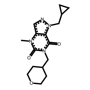 Cn1c(=O)n(CC2CCOCC2)c(=O)c2c1cnn2CC1CC1